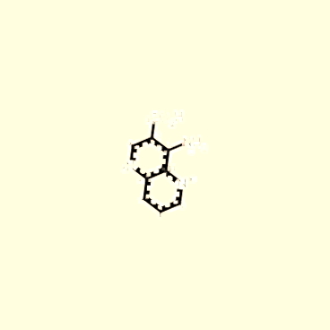 Nc1c(C(=O)O)cnc2cccnc12